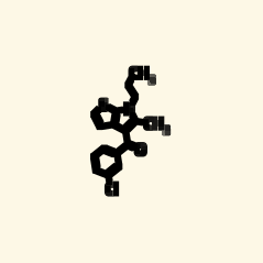 CCCn1c(C)c(C(=O)c2cccc(Cl)c2)c2ccsc21